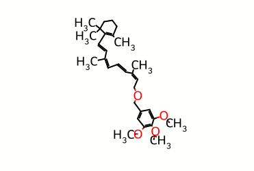 COc1cc(COCC=C(C)C=CC=C(C)C=CC2=C(C)CCCC2(C)C)cc(OC)c1OC